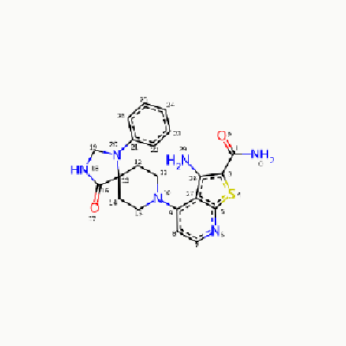 NC(=O)c1sc2nccc(N3CCC4(CC3)C(=O)NCN4c3ccccc3)c2c1N